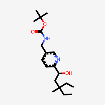 CCC(C)(CC)CC(O)c1ccc(CNC(=O)OC(C)(C)C)cn1